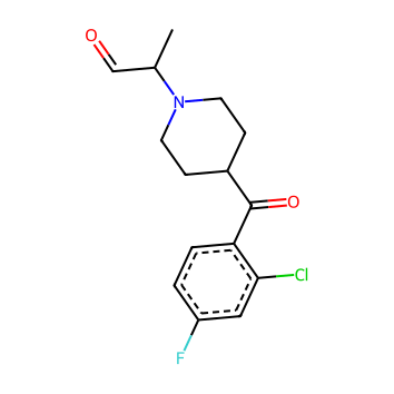 CC(C=O)N1CCC(C(=O)c2ccc(F)cc2Cl)CC1